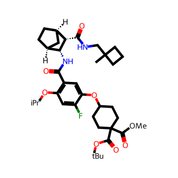 COC(=O)C1(C(=O)OC(C)(C)C)CCC(Oc2cc(C(=O)N[C@@H]3[C@H]4CC[C@H](C4)[C@@H]3C(=O)NCC3(C)CCC3)c(OC(C)C)cc2F)CC1